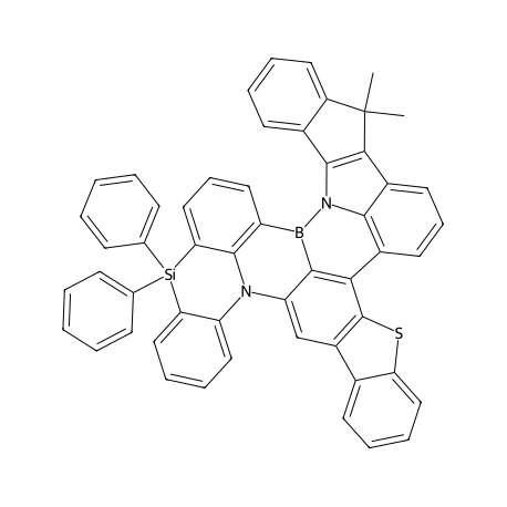 CC1(C)c2ccccc2-c2c1c1cccc3c1n2B1c2cccc4c2N(c2ccccc2[Si]4(c2ccccc2)c2ccccc2)c2cc4c(sc5ccccc54)c-3c21